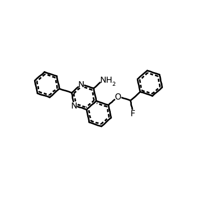 Nc1nc(-c2ccccc2)nc2cccc(OC(F)c3ccccc3)c12